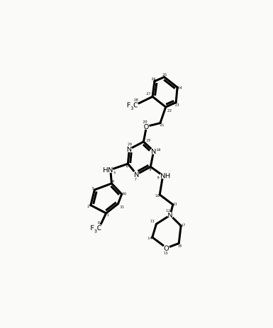 FC(F)(F)c1ccc(Nc2nc(NCCN3CCOCC3)nc(OCc3ccccc3C(F)(F)F)n2)cc1